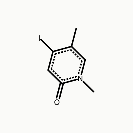 Cc1cn(C)c(=O)cc1I